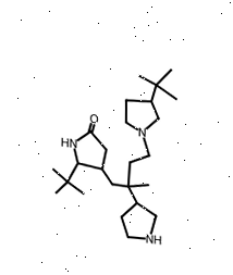 CC(C)(C)C1CCN(CCC(C)(CC2CC(=O)NC2C(C)(C)C)C2CCNC2)C1